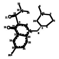 CN1CCC[C@H](Cn2cc(C(=O)N(C)C)c(=O)c3cc(I)ccc32)C1